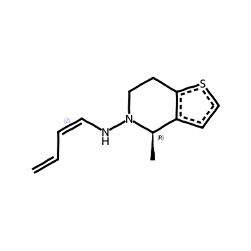 C=C/C=C\NN1CCc2sccc2[C@H]1C